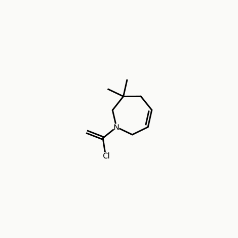 C=C(Cl)N1CC=CCC(C)(C)C1